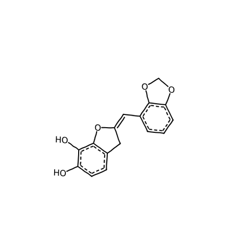 Oc1ccc2c(c1O)OC(=Cc1cccc3c1OCO3)C2